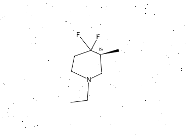 CCN1CCC(F)(F)[C@@H](C)C1